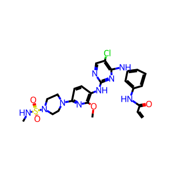 C=CC(=O)Nc1cccc(Nc2nc(Nc3ccc(N4CCN(S(=O)(=O)NC)CC4)nc3OC)ncc2Cl)c1